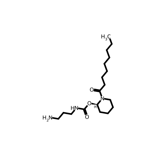 CCCCCCCCC(=O)N1CCCC[C@H]1OC(=O)NCCCN